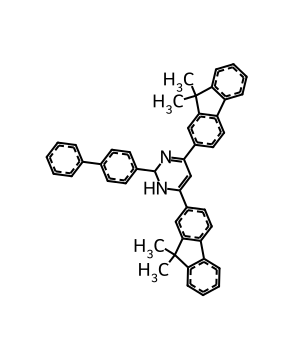 CC1(C)c2ccccc2-c2ccc(C3=CC(c4ccc5c(c4)C(C)(C)c4ccccc4-5)=NC(c4ccc(-c5ccccc5)cc4)N3)cc21